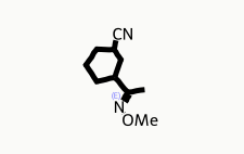 CO/N=C(\C)C1CCCC(C#N)C1